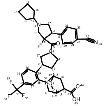 COC[C@H]1CN(C(=O)[C@]2(F)CN(C3CCCC3)C[C@H]2c2ccc(C#N)cc2)C[C@@H]1c1ccc(C(F)(F)F)cc1N1CCC(C(=O)O)CC1